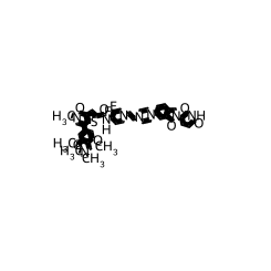 COc1cc(-c2cn(C)c(=O)c3cc(C(=O)NC4CCN(CCN5CCN(c6ccc7c(c6)C(=O)N(C6CCC(=O)NC6=O)C7)CC5)CC4(F)F)sc23)cc(OC)c1CN(C)C